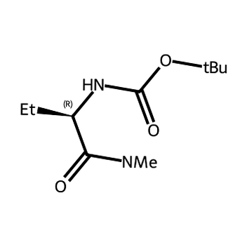 CC[C@@H](NC(=O)OC(C)(C)C)C(=O)NC